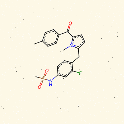 Cc1ccc(C(=O)c2ccc(Cc3ccc(NS(C)(=O)=O)cc3F)n2C)cc1